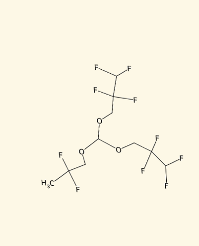 CC(F)(F)COC(OCC(F)(F)C(F)F)OCC(F)(F)C(F)F